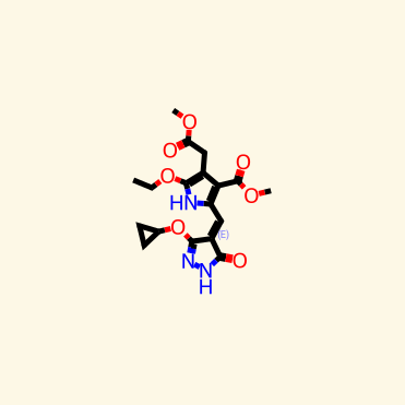 CCOc1[nH]c(/C=C2/C(=O)NN=C2OC2CC2)c(C(=O)OC)c1CC(=O)OC